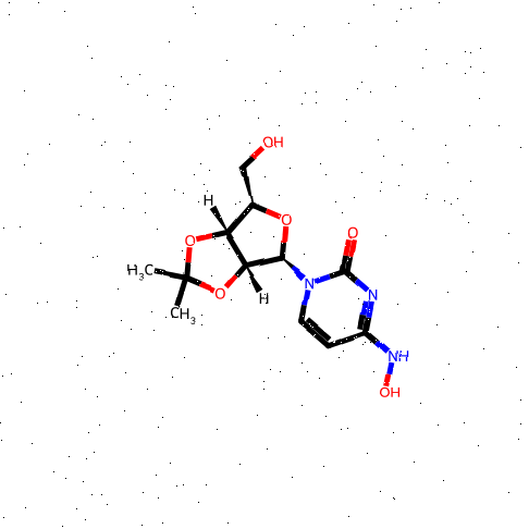 CC1(C)O[C@@H]2[C@H](O1)[C@@H](CO)O[C@H]2n1ccc(NO)nc1=O